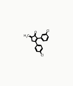 C=C1CC(c2ccc(Cl)cc2)=C(c2cccc(Cl)c2)C1=O